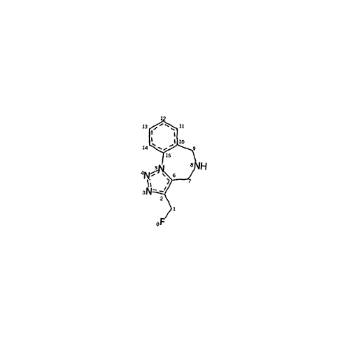 FCc1nnn2c1CNCc1ccccc1-2